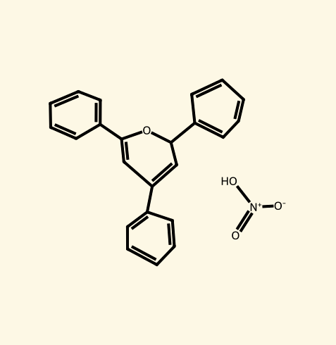 C1=C(c2ccccc2)C=C(c2ccccc2)OC1c1ccccc1.O=[N+]([O-])O